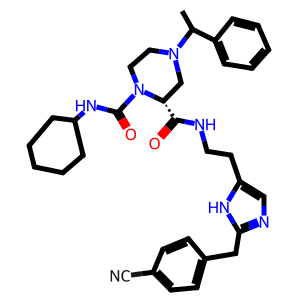 CC(c1ccccc1)N1CCN(C(=O)NC2CCCCC2)[C@@H](C(=O)NCCc2cnc(Cc3ccc(C#N)cc3)[nH]2)C1